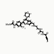 CC#CC(=O)NCC(=O)NCCNCc1cc2c(N3CCOCC3)nc(-c3cnc(NC(=O)NC)cc3C(F)(F)F)nn2c1